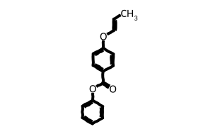 CC=COc1ccc(C(=O)Oc2ccccc2)cc1